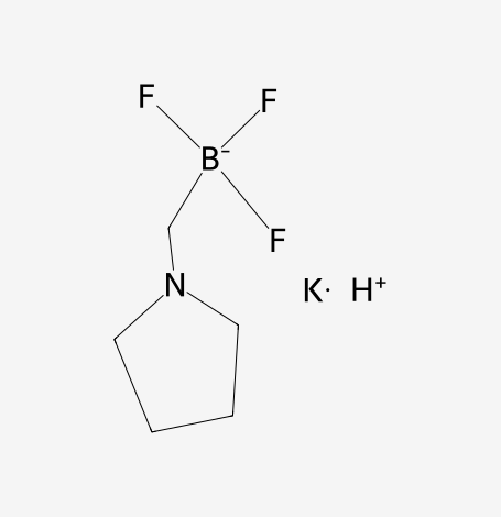 F[B-](F)(F)CN1CCCC1.[H+].[K]